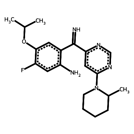 CC(C)Oc1cc(C(=N)c2cc(N3CCCCC3C)ncn2)c(N)cc1F